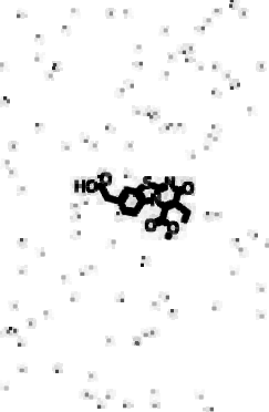 CCc1c(C(=O)OC)n2c(nc1=O)sc1cc(CC(=O)O)ccc12